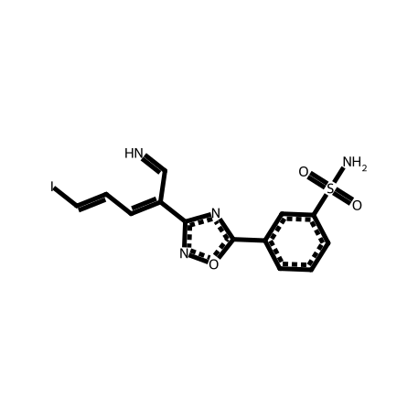 N=C/C(=C\C=C\I)c1noc(-c2cccc(S(N)(=O)=O)c2)n1